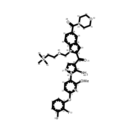 COc1nc(Oc2cccc(F)c2F)ccc1-n1ncc(C(=O)c2cc3cc(C(=O)N4CCOCC4)ccc3n2COCC[Si](C)(C)C)c1N